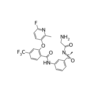 Cc1nc(F)ccc1Oc1cc(C(F)(F)F)ccc1C(=O)Nc1cccc([S@@](C)(=O)=NC(=O)CN)c1